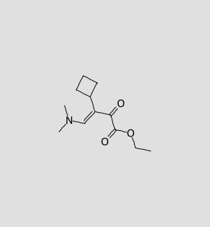 CCOC(=O)C(=O)C(=CN(C)C)C1CCC1